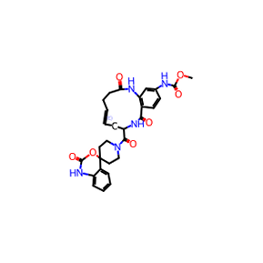 COC(=O)Nc1ccc2c(c1)NC(=O)CC/C=C/CC(C(=O)N1CCC3(CC1)OC(=O)Nc1ccccc13)NC2=O